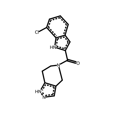 O=C(c1cc2cccc(Cl)c2[nH]1)N1CCc2[nH]ncc2C1